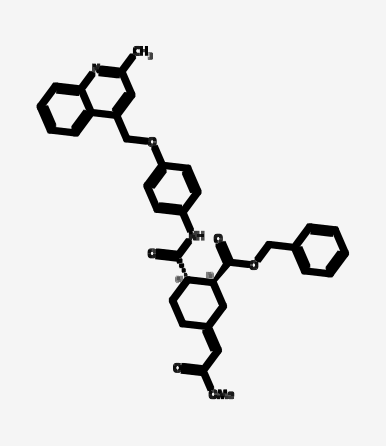 COC(=O)C=C1CC[C@H](C(=O)Nc2ccc(OCc3cc(C)nc4ccccc34)cc2)[C@@H](C(=O)OCc2ccccc2)C1